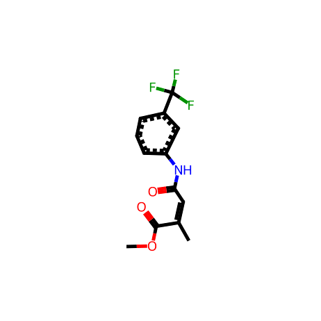 COC(=O)C(C)=CC(=O)Nc1cccc(C(F)(F)F)c1